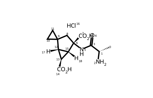 C[C@H](N)C(=O)N[C@@]1(C(=O)O)CC2(CC2)[C@H]2[C@H](C(=O)O)[C@H]21.Cl